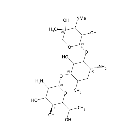 CNC1C(O)[C@H](OC2C(O)[C@@H](O[C@@H]3OC(C(C)O)[C@@H](O)C(O)C3N)C(N)C[C@H]2N)OC[C@]1(C)O